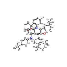 Cc1ccc(-c2ccccc2)c(N2c3cc(C)cc4c3B(c3cc5c(cc3N4c3ccc(C(C)(C)C)cc3)C(C)(C)CCC5(C)C)c3oc4ccc(C(C)(C)C)cc4c32)c1